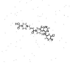 O=C(O)N1CCN(CC=CC(=O)N2CCc3c(sc4ncnc(Nc5ccc(F)c(Cl)c5)c34)C2)CC1